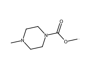 [CH2]OC(=O)N1CCN(C)CC1